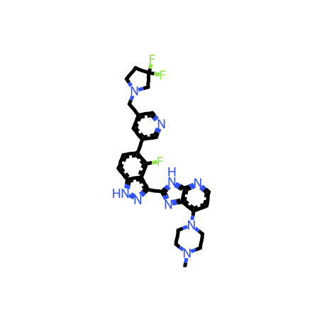 CN1CCN(c2ccnc3[nH]c(-c4n[nH]c5ccc(-c6cncc(CN7CCC(F)(F)C7)c6)c(F)c45)nc23)CC1